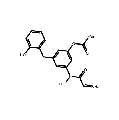 C=CC(=O)N(C)c1cc(Cc2ccccc2O)cc(OC(=O)C(C)(C)C)c1